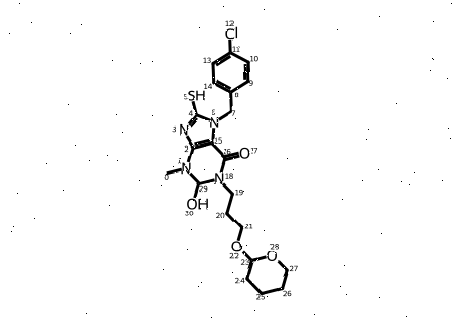 CN1c2nc(S)n(Cc3ccc(Cl)cc3)c2C(=O)N(CCCOC2CCCCO2)C1O